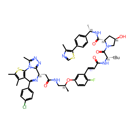 Cc1ncsc1-c1ccc([C@H](C)NC(=O)[C@@H]2C[C@@H](O)CN2C(=O)[C@@H](NC(=O)/C=C/c2cc(O[C@@H](C)CNC(=O)C[C@@H]3N=C(c4ccc(Cl)cc4)c4c(sc(C)c4C)-n4c(C)nnc43)ccc2F)C(C)(C)C)cc1